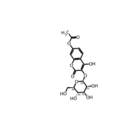 CC(=O)Oc1ccc2c(O)c(O[C@@H]3O[C@H](CO)[C@@H](O)[C@H](O)[C@@H]3O)c(=O)oc2c1